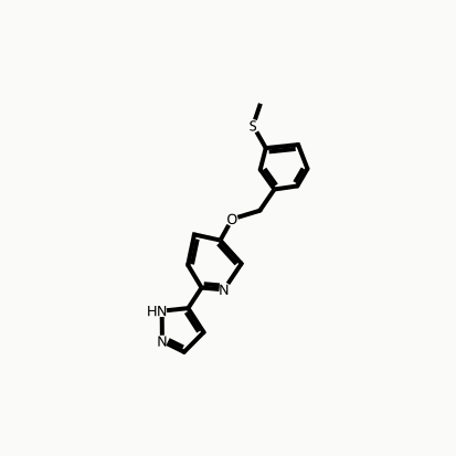 CSc1cccc(COc2ccc(-c3ccn[nH]3)nc2)c1